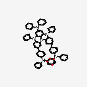 c1ccc(N(c2ccccc2)c2ccc(-c3ccc4c(c3)B3c5cc(-c6ccc(N(c7ccccc7)c7ccccc7)cc6)ccc5N(c5ccccc5)c5cc(N(c6ccccc6)c6ccccc6)cc(c53)N4c3ccccc3)cc2)cc1